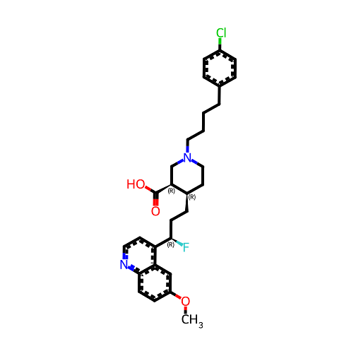 COc1ccc2nccc([C@H](F)CC[C@@H]3CCN(CCCCc4ccc(Cl)cc4)C[C@@H]3C(=O)O)c2c1